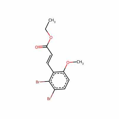 CCOC(=O)/C=C/c1c(OC)ccc(Br)c1Br